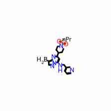 Bc1cnn2c(NCc3cccnc3)cc(C3CCN(S(=O)(=O)CCC)CC3)nc12